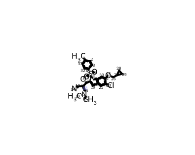 Cc1ccc(S(=O)(=O)n2c(C(=O)/C(C#N)=C/N(C)C)cc3cc(Cl)c(OCC4CC4)cc32)cc1